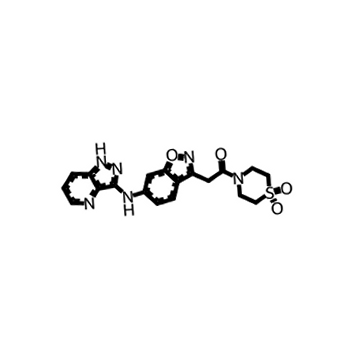 O=C(Cc1noc2cc(Nc3n[nH]c4cccnc34)ccc12)N1CCS(=O)(=O)CC1